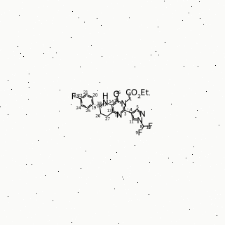 CCOC(=O)Cn1c(-c2cnn(C(F)F)c2)nc2c(c1=O)N[C@@H](c1ccc(F)cc1)CC2